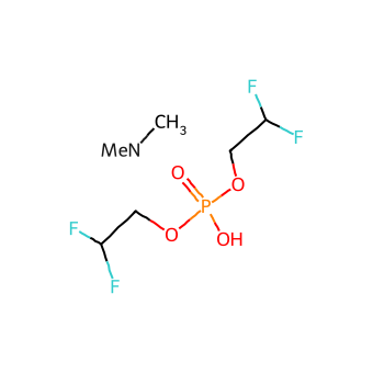 CNC.O=P(O)(OCC(F)F)OCC(F)F